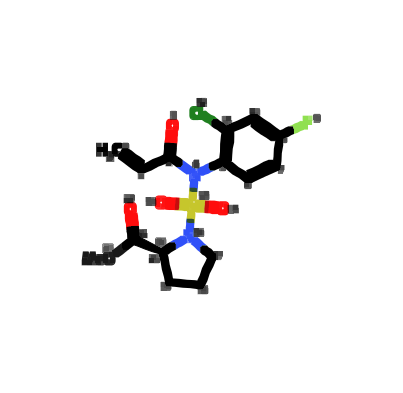 C=CC(=O)N(c1ccc(F)cc1Cl)S(=O)(=O)N1CCC[C@H]1C(=O)OC